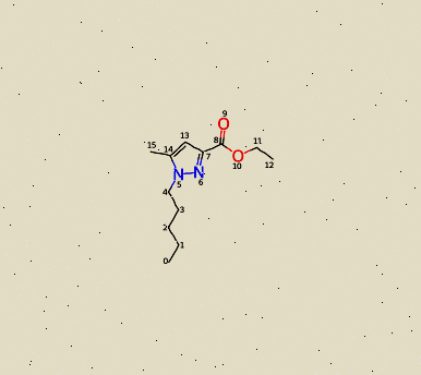 CCCCCn1nc(C(=O)OCC)cc1C